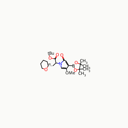 COc1cn(C(C[C@H]2CCCCO2)C(=O)OC(C)(C)C)c(=O)cc1B1OC(C)(C)C(C)(C)O1